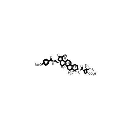 COc1ccc(C(=O)NCC[C@@]23CC[C@]4(C)[C@H](CC[C@@H]5[C@@]6(C)CC[C@H](OC(=O)[C@H]7C[C@@H](C(=O)O)C7(C)C)C(C)(C)[C@@H]6CC[C@]54C)C2=C(C(C)C)C(=O)C3)cc1